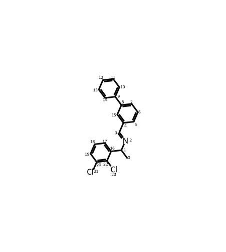 CC(/N=C/c1cccc(-c2ccccc2)c1)c1cccc(Cl)c1Cl